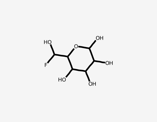 OC(F)C1OC(O)C(O)C(O)C1O